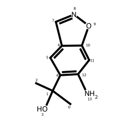 CC(C)(O)c1cc2cnoc2cc1N